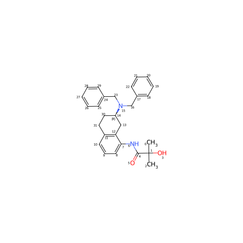 CC(C)(O)C(=O)Nc1cccc2c1C[C@H](N(Cc1ccccc1)Cc1ccccc1)CC2